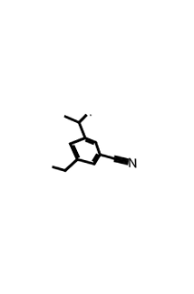 [CH2]C(C)c1cc(C#N)cc(CC)c1